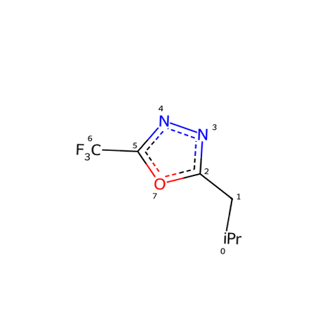 CC(C)Cc1nnc(C(F)(F)F)o1